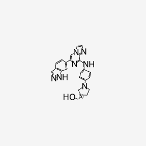 OC[C@H]1CCN(c2ccc(Nc3nc(-c4ccc5cn[nH]c5c4)cn4ccnc34)cc2)C1